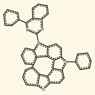 c1ccc(-c2nc(-n3c4cccc5c6cccc7oc8ccc9c(c8c76)c6c(c54)c3ccc6n9-c3ccccc3)nc3ccccc23)cc1